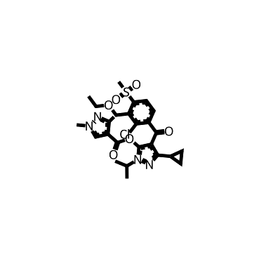 CCOCc1c(S(C)(=O)=O)ccc(C(=O)c2c(C3CC3)nn(C(C)C)c2OC(=O)c2cn(C)nc2C)c1Cl